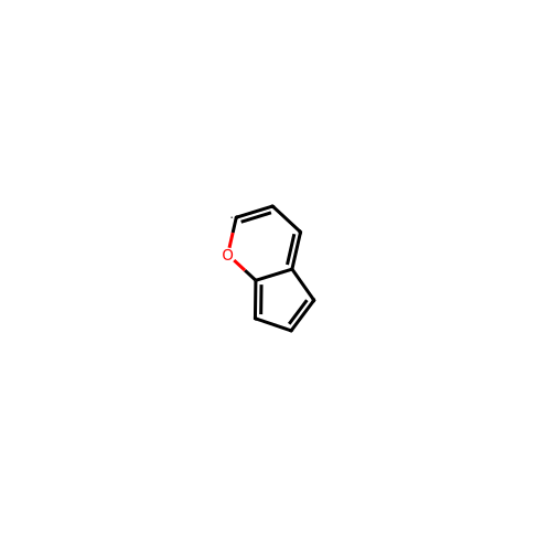 [c]1ccc2cccc-2o1